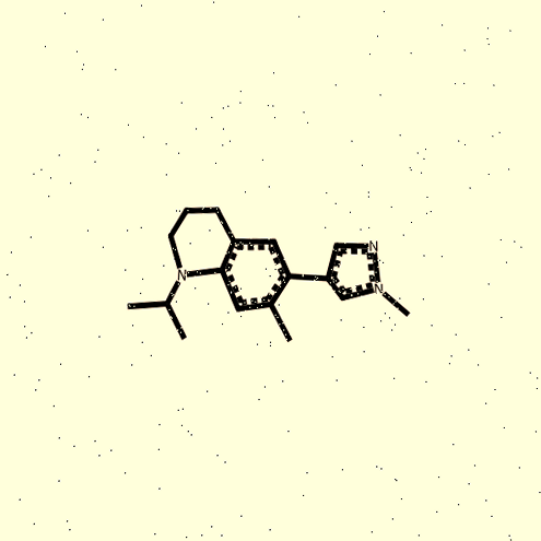 Cc1cc2c(cc1-c1cnn(C)c1)CCCN2C(C)C